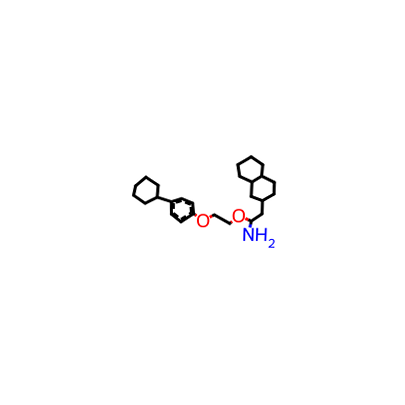 NC(CC1CCC2CCCCC2C1)OCCOc1ccc(C2CCCCC2)cc1